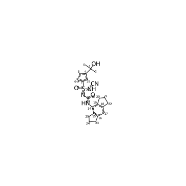 CC(C)(O)c1csc(S(=O)(=NC(=O)Nc2c3c(cc4c2CCC4)CCC3)NC#N)c1